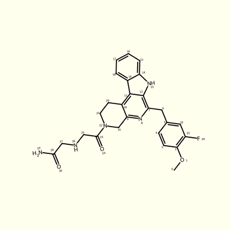 COc1ccc(Cc2nc3c(c4c2[nH]c2ccccc24)CCN(C(=O)CNCC(N)=O)C3)cc1F